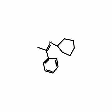 C/C(=N/C1CCCCC1)c1ccccc1